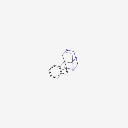 Cc1ccccc1C12CN3CN(C[N@](C3)C1)[C@@H]2C